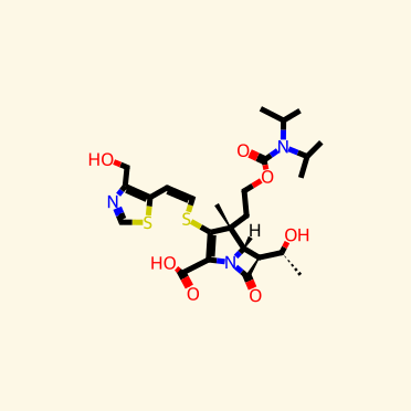 CC(C)N(C(=O)OCC[C@@]1(C)C(S/C=C\c2scnc2CO)=C(C(=O)O)N2C(=O)[C@H]([C@@H](C)O)[C@H]21)C(C)C